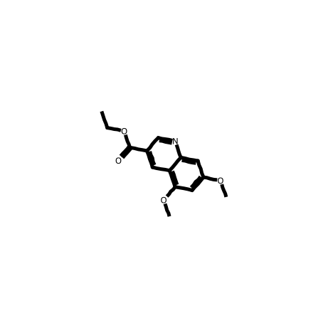 CCOC(=O)c1cnc2cc(OC)cc(OC)c2c1